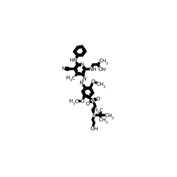 COc1cc(S(=O)(=O)CCN(CCO)C(C)(C)C)c(OC)cc1/N=N/c1c(NCC(C)O)nc(Nc2ccccc2)c(C#N)c1C